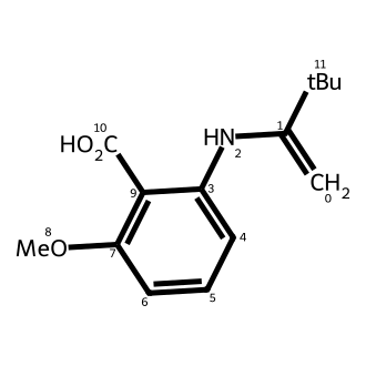 C=C(Nc1cccc(OC)c1C(=O)O)C(C)(C)C